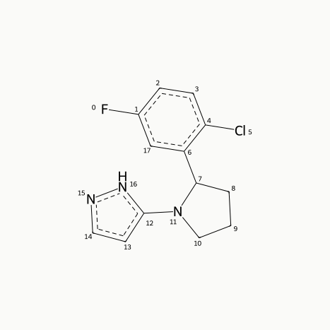 Fc1ccc(Cl)c(C2CCCN2c2ccn[nH]2)c1